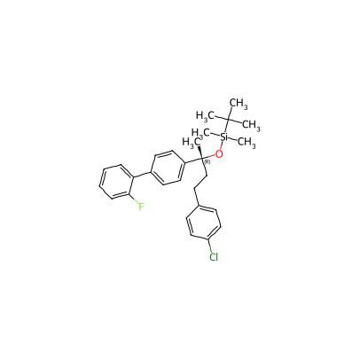 CC(C)(C)[Si](C)(C)O[C@](C)(CCc1ccc(Cl)cc1)c1ccc(-c2ccccc2F)cc1